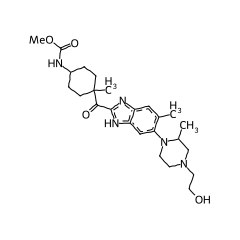 COC(=O)NC1CCC(C)(C(=O)c2nc3cc(C)c(N4CCN(CCO)CC4C)cc3[nH]2)CC1